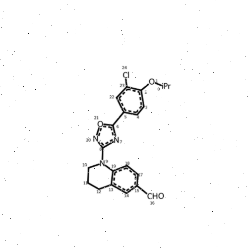 CC(C)Oc1ccc(-c2nc(N3CCCc4cc(C=O)ccc43)no2)cc1Cl